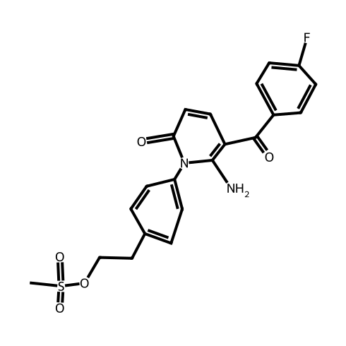 CS(=O)(=O)OCCc1ccc(-n2c(N)c(C(=O)c3ccc(F)cc3)ccc2=O)cc1